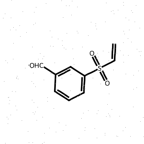 C=CS(=O)(=O)c1cccc([C]=O)c1